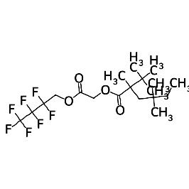 CCC(C)(C)CC(C)(C(=O)OCC(=O)OCC(F)(F)C(F)(F)C(F)(F)F)C(C)(C)C